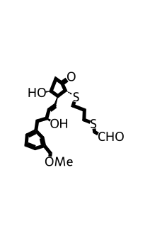 COCc1cccc(C[C@H](O)/C=C/[C@H]2[C@H](O)CC(=O)[C@@H]2SCCCSCC=O)c1